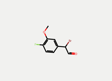 COc1cc(C(Br)C=O)ccc1F